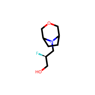 OC[C@@H](F)CN1C2CCC1COC2